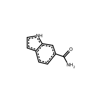 NC(=O)c1ccc2cc[nH]c2c1